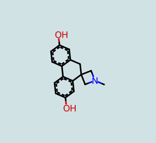 CN1CC2(Cc3cc(O)ccc3-c3ccc(O)cc32)C1